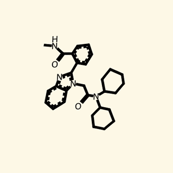 CNC(=O)c1ccccc1-c1nc2ccccc2n1CC(=O)N(C1CCCCC1)C1CCCCC1